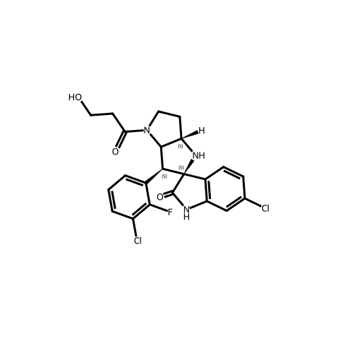 O=C(CCO)N1CC[C@@H]2N[C@@]3(C(=O)Nc4cc(Cl)ccc43)[C@@H](c3cccc(Cl)c3F)C21